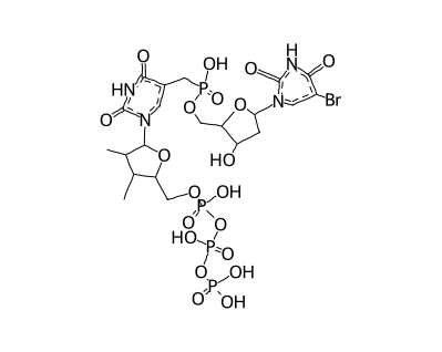 CC1C(COP(=O)(O)OP(=O)(O)OP(=O)(O)O)OC(n2cc(CP(=O)(O)OCC3OC(n4cc(Br)c(=O)[nH]c4=O)CC3O)c(=O)[nH]c2=O)C1C